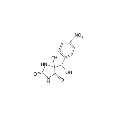 CC1(C(O)c2ccc([N+](=O)[O-])cc2)NC(=O)NC1=O